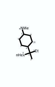 CCCCCCC(C)(CC)C1CCC(NC)CC1